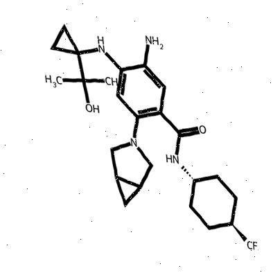 CC(C)(O)C1(Nc2cc(N3CC4CC4C3)c(C(=O)N[C@H]3CC[C@H](C(F)(F)F)CC3)cc2N)CC1